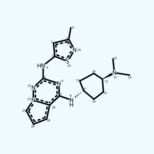 Cc1cc(Nc2nc(N[C@H]3CC[C@H](N(C)C)CC3)c3cccn3n2)sn1